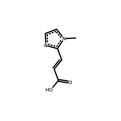 Cn1ccnc1/C=C/C(=O)O